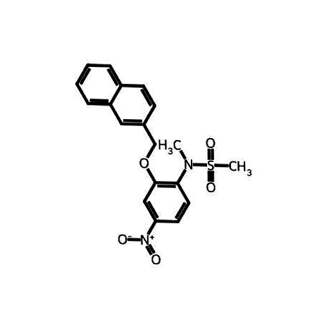 CN(c1ccc([N+](=O)[O-])cc1OCc1ccc2ccccc2c1)S(C)(=O)=O